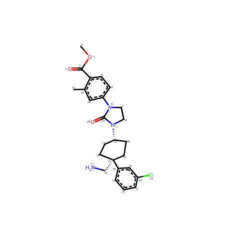 COC(=O)c1ccc(N2CCN([C@H]3CC[C@](CN)(c4cccc(Cl)c4)CC3)C2=O)cc1C